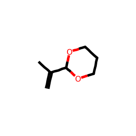 C=C(C)C1OCCCO1